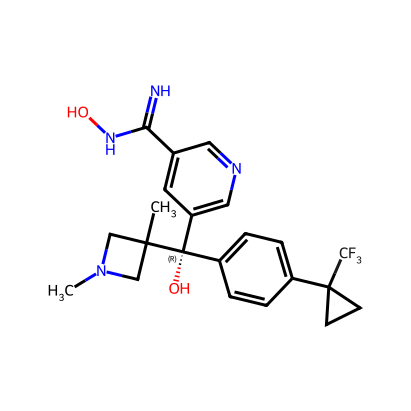 CN1CC(C)([C@](O)(c2ccc(C3(C(F)(F)F)CC3)cc2)c2cncc(C(=N)NO)c2)C1